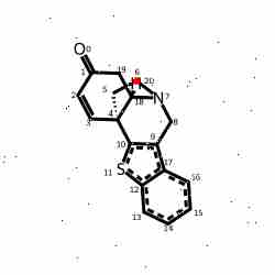 O=C1C=C[C@]23CCN(Cc4c2sc2ccccc42)[C@H]3C1